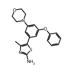 Cc1nc(N)sc1-c1cc(Oc2ccccc2)cc(N2CCOCC2)c1